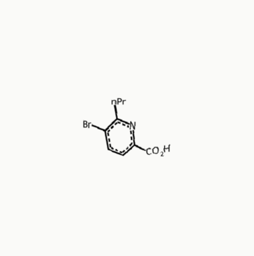 CCCc1nc(C(=O)O)ccc1Br